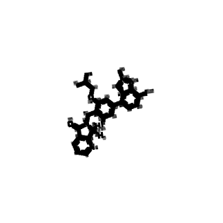 [2H]C1([2H])c2ncccc2C(=O)N1Cc1c(F)cc(-c2ccc(F)c3nn(C)cc23)cc1OCC(C)C